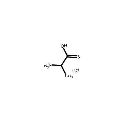 CC(N)C(O)=S.Cl